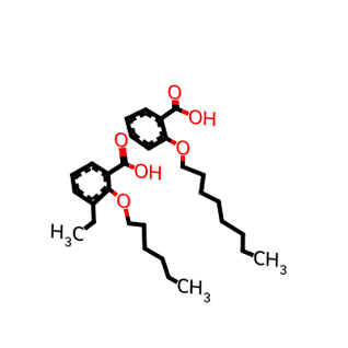 CCCCCCCCOc1ccccc1C(=O)O.CCCCCCOc1c(CC)cccc1C(=O)O